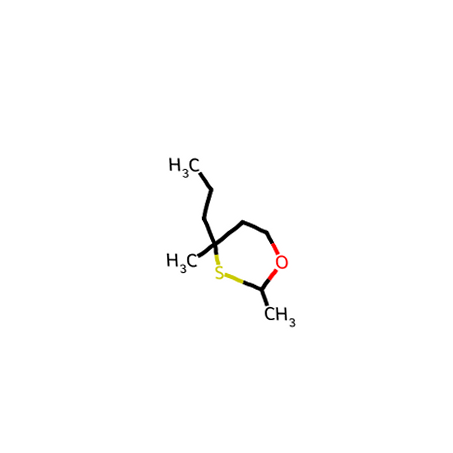 CCCC1(C)CCOC(C)S1